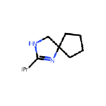 CC(C)C1=NC2(CCCC2)CN1